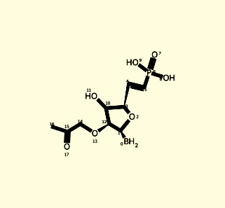 B[C@@H]1O[C@H](/C=C/P(=O)(O)O)C(O)[C@@H]1OCC(C)=O